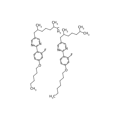 CCCCCCCOc1ccc(-c2ncc(CC(C)CCCC(C)C)cn2)c(F)c1.CCCCCCOc1ccc(-c2ncc(CC(C)CCCC(C)C)cn2)c(F)c1